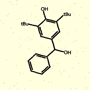 CC(C)(C)c1cc(C(O)c2ccccc2)cc(C(C)(C)C)c1O